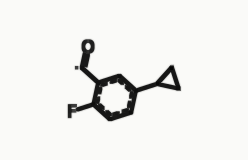 O=[C]c1cc(C2CC2)ccc1F